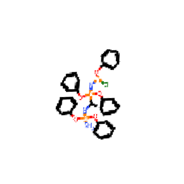 CC(N=P(N)(Oc1ccccc1)Oc1ccccc1)P(=NP(Cl)Oc1ccccc1)(Oc1ccccc1)Oc1ccccc1